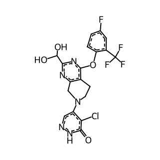 O=c1[nH]ncc(N2CCc3c(nc(C(O)O)nc3Oc3ccc(F)cc3C(F)(F)F)C2)c1Cl